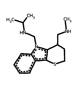 CNCC1CCSc2c1n(CNC(C)C)c1ccccc21